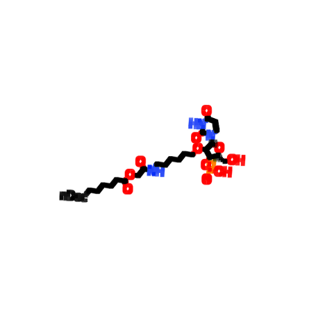 CCCCCCCCCCCCCCCC(=O)OCC(=O)NCCCCCCOC1C(O[PH](=O)O)[C@@H](CO)O[C@H]1n1ccc(=O)[nH]c1=O